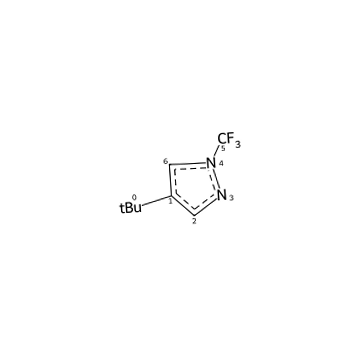 CC(C)(C)c1cnn(C(F)(F)F)c1